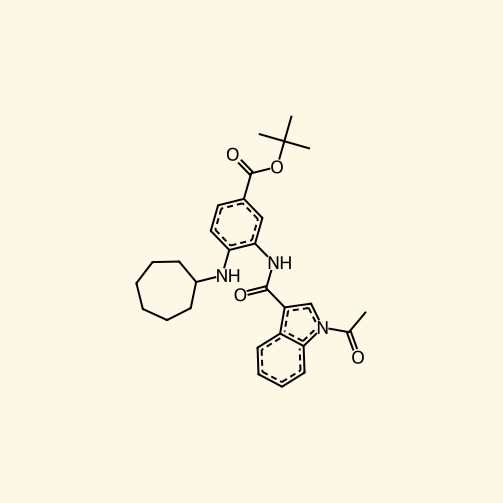 CC(=O)n1cc(C(=O)Nc2cc(C(=O)OC(C)(C)C)ccc2NC2CCCCCC2)c2ccccc21